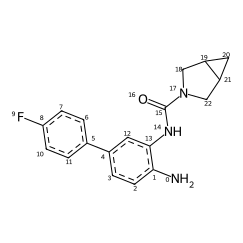 Nc1ccc(-c2ccc(F)cc2)cc1NC(=O)N1CC2CC2C1